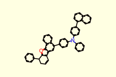 C1=Cc2c(oc3c2cc(-c2ccc(N(c4ccccc4)c4ccc(-c5cccc6ccccc56)cc4)cc2)c2ccccc23)C(c2ccccc2)C1